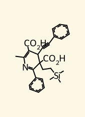 CC1=C(C(=O)O)C(C#Cc2ccccc2)C(CC[Si](C)(C)C)(C(=O)O)C(c2ccccc2)=N1